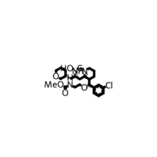 COC(=O)NCCO[C@@H](c1cccc(Cl)c1)C1CCCN(C(=O)O)C1C[C@@H](N)C[C@H]1CCCOC1